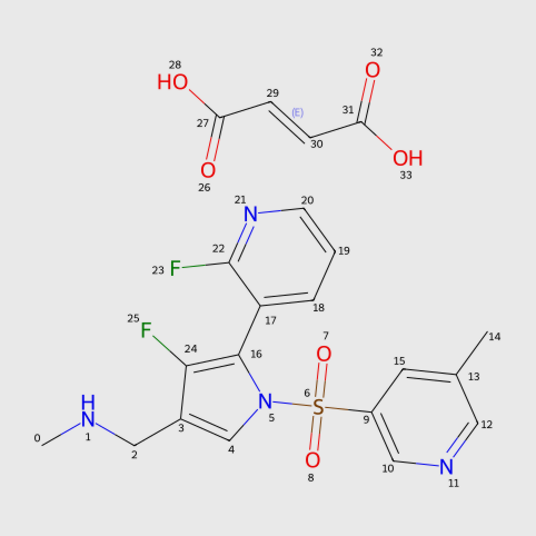 CNCc1cn(S(=O)(=O)c2cncc(C)c2)c(-c2cccnc2F)c1F.O=C(O)/C=C/C(=O)O